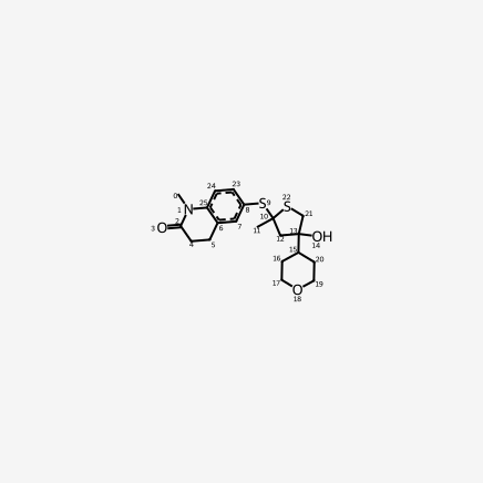 CN1C(=O)CCc2cc(SC3(C)CC(O)(C4CCOCC4)CS3)ccc21